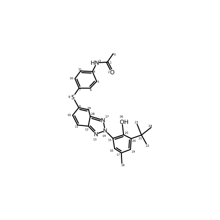 CC(=O)Nc1ccc(Sc2ccc3nn(-c4cc(C)cc(C(C)(C)C)c4O)nc3c2)cc1